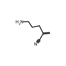 C=C(C#N)CCCN